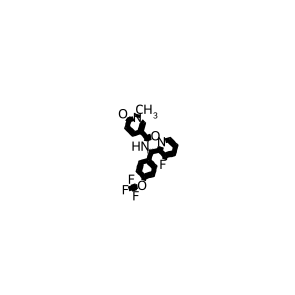 Cn1cc(C(=O)N[C@@H](c2ccc(OC(F)(F)F)cc2)c2ncccc2F)ccc1=O